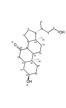 CC(CCO)[C@H]1CCC2C3C(=O)CC4C[C@H](O)CC[C@]4(C)C3CC[C@@]21C